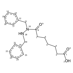 O=C(O)CCCCCC(=O)N(Cc1ccccc1)NCc1ccccc1